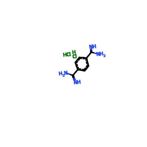 Cl.Cl.N=C(N)c1ccc(C(=N)N)cc1